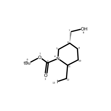 CC(C)(C)OC(=O)N1C[C@H](CO)CCC1CI